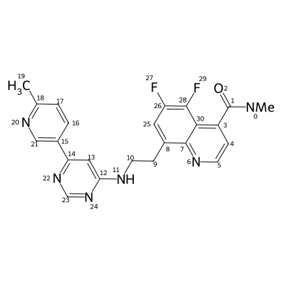 CNC(=O)c1ccnc2c(CCNc3cc(-c4ccc(C)nc4)ncn3)cc(F)c(F)c12